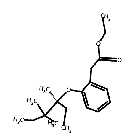 CCOC(=O)Cc1ccccc1O[C@@](C)(CC)C(C)(C)CC